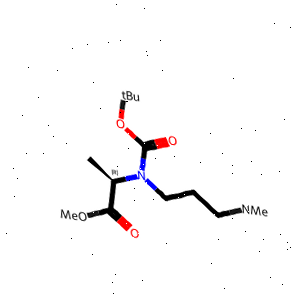 CNCCCN(C(=O)OC(C)(C)C)[C@H](C)C(=O)OC